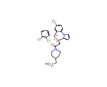 O=C(O)CC1CCN(C(=O)C[C@H]2O[C@H](c3cccc(Cl)c3Cl)c3cc(Cl)ccc3-n3cccc32)CC1